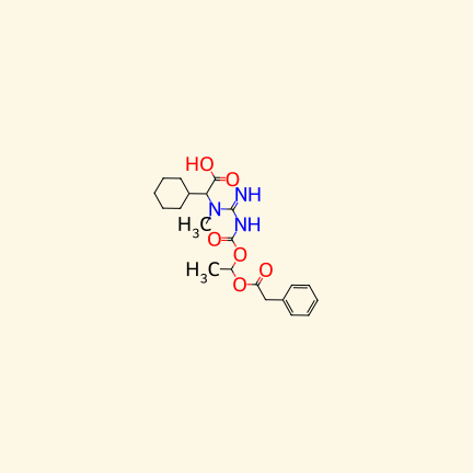 CC(OC(=O)Cc1ccccc1)OC(=O)NC(=N)N(C)C(C(=O)O)C1CCCCC1